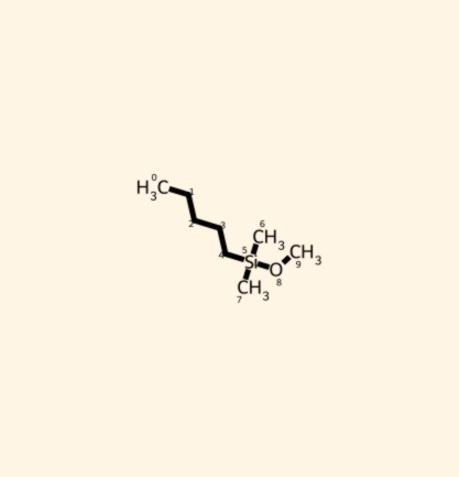 CCCCC[Si](C)(C)OC